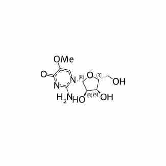 COc1cn([C@@H]2O[C@H](CO)[C@@H](O)[C@H]2O)c(N)nc1=O